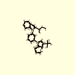 CCC(C)c1cc2ccccc2n1-c1cccc(-n2cc(C(C)(C)C)c3ccccc32)c1